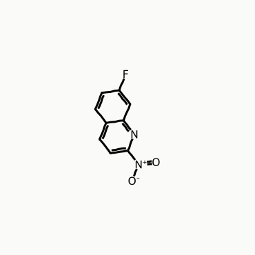 O=[N+]([O-])c1ccc2ccc(F)cc2n1